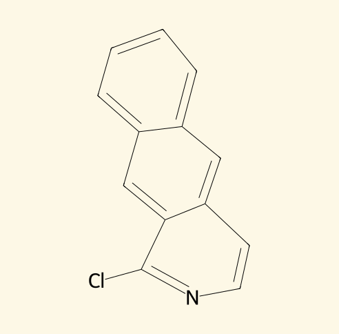 Clc1nccc2cc3ccccc3cc12